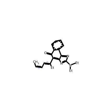 C/C=C\C=C(/CC)C1=C2N=C(N(CC)CC)N=C2c2ccccc2C1=O